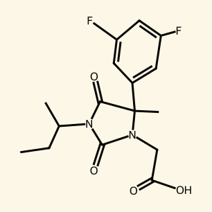 CCC(C)N1C(=O)N(CC(=O)O)C(C)(c2cc(F)cc(F)c2)C1=O